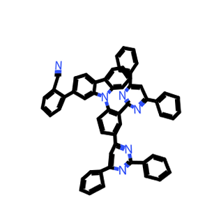 N#Cc1ccccc1-c1ccc2c3ccccc3n(-c3ccc(-c4cc(-c5ccccc5)nc(-c5ccccc5)n4)cc3-c3nc(-c4ccccc4)cc(-c4ccccc4)n3)c2c1